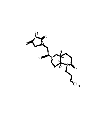 CCCCN1C(=O)CC[C@@H]2CN(C(=O)CN3CC(=O)NC3=O)CC[C@@H]21